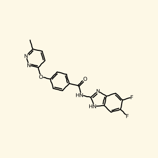 Cc1ccc(Oc2ccc(C(=O)Nc3nc4cc(F)c(F)cc4[nH]3)cc2)nn1